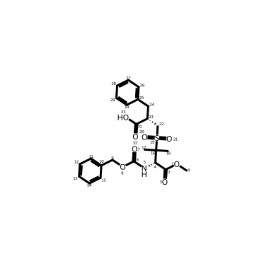 COC(=O)[C@H](NC(=O)OCc1ccccc1)C(C)(C)S(=O)(=O)C[C@@H](Cc1ccccc1)C(=O)O